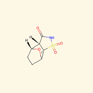 O=C1NS(=O)(=O)C2=C3CC[C@@H](O3)[C@H]12